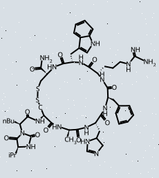 CCCC[C@@H](C(=O)N[C@H]1CSSC[C@@H](C(N)=O)NC(=O)[C@H](Cc2c[nH]c3ccccc23)NC(=O)[C@H](CCCNC(=N)N)NC(=O)[C@@H](Cc2ccccc2)NC(=O)[C@H](CC2CN=CN2)NC(=O)[C@@H](C)NC1=O)N1C(=O)N[C@@H](C(C)C)C1=O